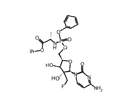 CC(C)OC(=O)[C@H](C)N[P@@](=O)(OC[C@H]1O[C@@H](n2ccc(N)nc2=O)[C@@](O)(CF)C1O)Oc1ccccc1